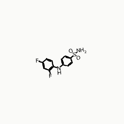 NS(=O)(=O)c1ccc(Nc2ccc(F)cc2F)cc1